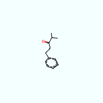 CC(C)C(=O)CCc1ccccc1